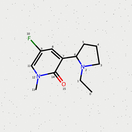 CCN1CCCC1c1cc(F)cn(C)c1=O